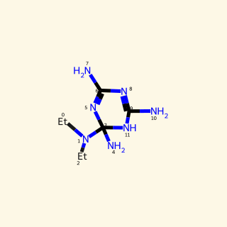 CCN(CC)C1(N)N=C(N)N=C(N)N1